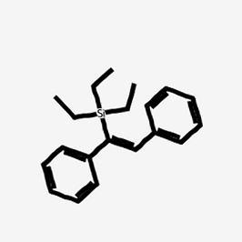 CC[Si](CC)(CC)C(=Cc1ccccc1)c1ccccc1